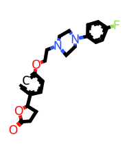 O=C1CCC(c2ccc(OCCN3CCN(c4ccc(F)cc4)CC3)cc2)O1